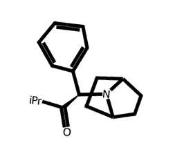 CC(C)C(=O)[C@@H](c1ccccc1)N1C2CCC1CC2